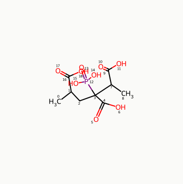 CC(CC(C(=O)O)(C(C)C(=O)O)P(=O)(O)O)C(=O)O